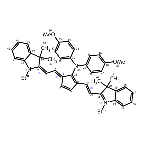 CCN1/C(=C/C=C2\C=CC(/C=C/C3=[N+](CC)c4ccccc4C3(C)C)=C2N(c2ccc(OC)cc2)c2ccc(OC)cc2)C(C)(C)c2ccccc21